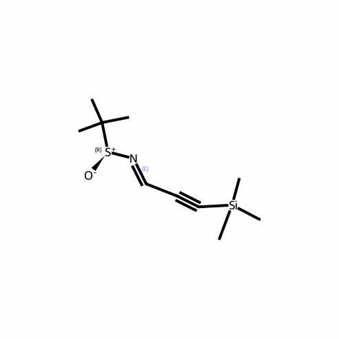 CC(C)(C)[S@+]([O-])/N=C/C#C[Si](C)(C)C